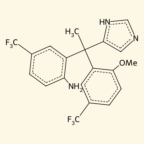 COc1ccc(C(F)(F)F)cc1C(C)(c1cnc[nH]1)c1cc(C(F)(F)F)ccc1N